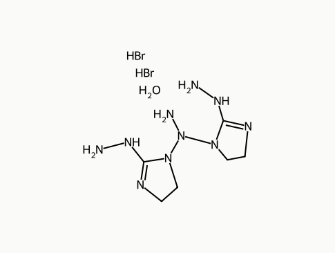 Br.Br.NNC1=NCCN1N(N)N1CCN=C1NN.O